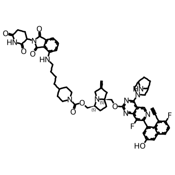 C#Cc1c(F)ccc2cc(O)cc(-c3ncc4c(N5CC6CCC(C5)N6)nc(OC[C@@]56CC[C@@H](COC(=O)N7CCC(CCCCNc8cccc9c8C(=O)N(C8CCC(=O)NC8=O)C9=O)CC7)N5CC(=C)C6)nc4c3F)c12